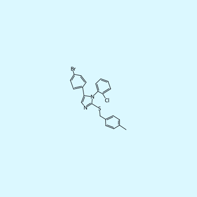 Cc1ccc(CSc2ncc(-c3ccc(Br)cc3)n2-c2ccccc2Cl)cc1